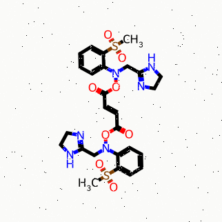 CS(=O)(=O)c1ccccc1N(CC1=NCCN1)OC(=O)/C=C/C(=O)ON(CC1=NCCN1)c1ccccc1S(C)(=O)=O